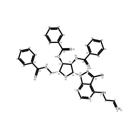 C=CCNc1ncnc2c1c(Br)nn2[C@@H]1O[C@H](COC(=O)c2ccccc2)[C@@H](OC(=O)c2ccccc2)[C@H]1OC(=O)c1ccccc1